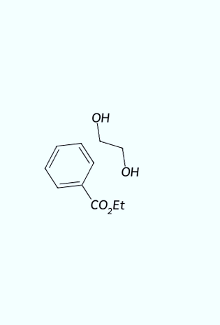 CCOC(=O)c1ccccc1.OCCO